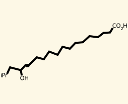 CC(C)CC(O)C=CCCCCCCCCCCCCC(=O)O